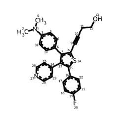 CN(C)c1ccc(-c2c(C#CCCO)sc(-c3ccc(F)cc3)c2-c2ccncc2)cc1